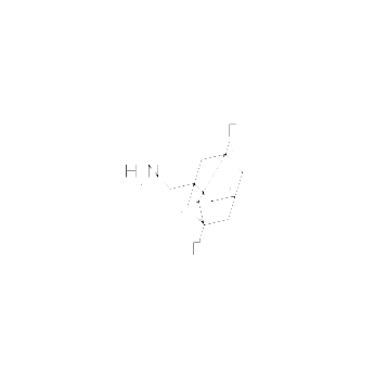 NCC12CC3CC(F)(CC(F)(C3)C1)C2